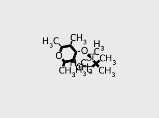 CC1O[C@H](C)[C@@H](C)[C@H](O[Si](C)(C)C(C)(C)C)[C@H]1C